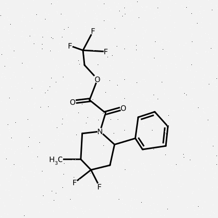 CC1CN(C(=O)C(=O)OCC(F)(F)F)C(c2ccccc2)CC1(F)F